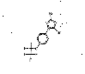 CC(F)(Oc1ccc(-n2nc(Br)nc2Br)cc1)C(F)(F)F